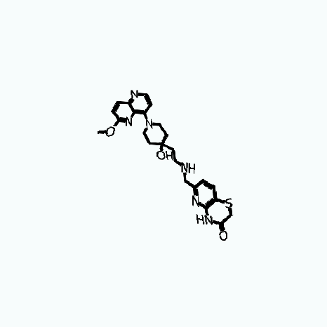 COc1ccc2nccc(N3CCC(O)(CCNCc4ccc5c(n4)NC(=O)CS5)CC3)c2n1